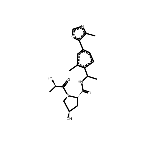 Cc1cc(-c2scnc2C)ccc1C(C)NC(=O)[C@@H]1C[C@@H](O)CN1C(=O)[C@@H](C)C(C)C